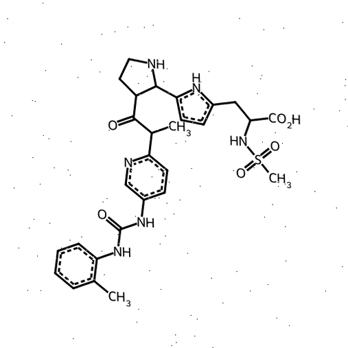 Cc1ccccc1NC(=O)Nc1ccc(C(C)C(=O)C2CCNC2c2ccc(CC(NS(C)(=O)=O)C(=O)O)[nH]2)nc1